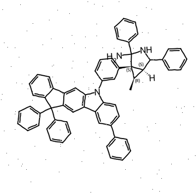 C[C@@H]1[C@@H]2C(c3ccccc3)NC(N)(c3ccccc3)[C@@]12c1cccc(-n2c3ccc(-c4ccccc4)cc3c3cc4c(cc32)-c2ccccc2C4(c2ccccc2)c2ccccc2)c1